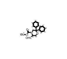 CC(C)(C)OC(=O)N1CC(c2ccccc2)(c2ccccc2)OCC1C=O